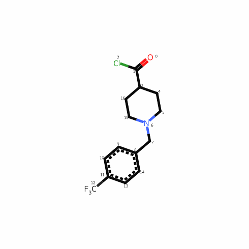 O=C(Cl)C1CCN(Cc2ccc(C(F)(F)F)cc2)CC1